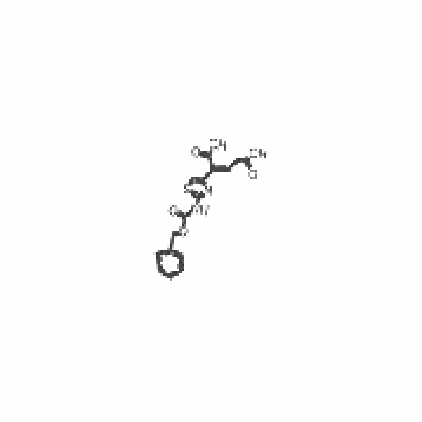 O=C(O)CC=C(C(=O)O)c1csc(NC(=O)OCc2ccccc2)n1